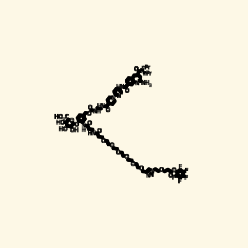 CCCN(CCC)C(=O)C1=Cc2ccc(C(=O)Nc3ccc(N4CCC(C(=O)NCCNC(=O)OCc5ccc(O[C@@H]6O[C@H](C(=O)O)C(O)[C@H](O)C6O)c(NC(=O)CCNC(=O)CCOCCOCCOCCOCCOCCOCc6cn(CCOCCC(=O)Oc7c(F)c(F)c(F)c(F)c7F)nn6)c5)CC4)nc3)cc2N=C(N)C1